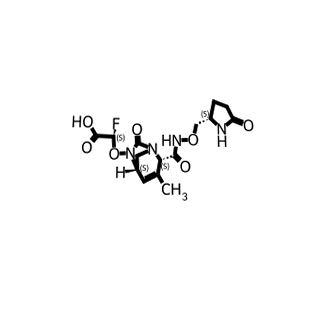 CC1=C[C@H]2CN(C(=O)N2O[C@@H](F)C(=O)O)[C@@H]1C(=O)NOC[C@@H]1CCC(=O)N1